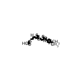 C=C/C(=C\C=C/CCSCC(=O)O)OCCc1nc(-c2ccc(C(C)C)cc2)oc1C